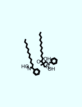 CCCCCCCCCCCC(=NO)c1ccccc1.CCCCCCCCCCCC(=O)C1(C)CN(O)N(c2ccccc2)C1O